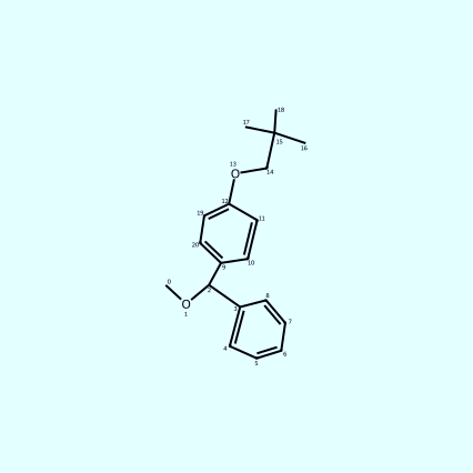 COC(c1ccccc1)c1ccc(OCC(C)(C)C)cc1